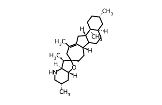 CC1=C2C[C@H]3C(CC[C@@H]4C[C@@H](C)CC[C@@]43C)[C@@H]2CC[C@@]2(C1)O[C@@H]1C[C@H](C)CN[C@H]1[C@H]2C